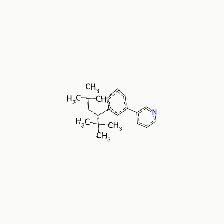 CC(C)(C)CC(c1cccc(-c2cccnc2)c1)C(C)(C)C